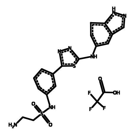 NCCS(=O)(=O)Nc1cccc(-c2nnc(Nc3ccc4[nH]ncc4c3)s2)c1.O=C(O)C(F)(F)F